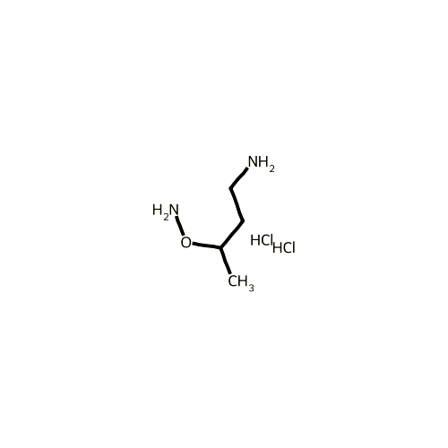 CC(CCN)ON.Cl.Cl